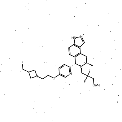 COCC(F)(F)CN1[C@H](c2ccc(OCCN3CC(CF)C3)cn2)c2ccc3[nH]ncc3c2C[C@H]1C